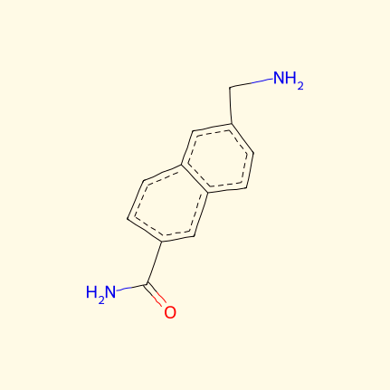 NCc1ccc2cc(C(N)=O)ccc2c1